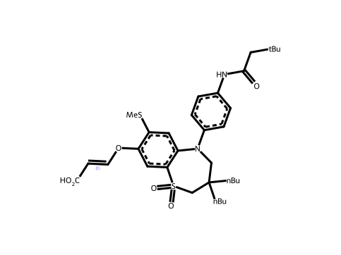 CCCCC1(CCCC)CN(c2ccc(NC(=O)CC(C)(C)C)cc2)c2cc(SC)c(O/C=C/C(=O)O)cc2S(=O)(=O)C1